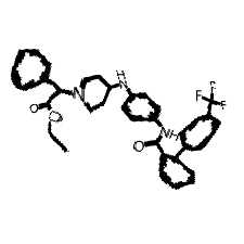 CCOC(=O)C(c1ccccc1)N1CCC(Nc2ccc(NC(=O)c3ccccc3-c3ccc(C(F)(F)F)cc3)cc2)CC1